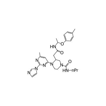 CCCNC(=O)N1CCN(c2cc(C)nc(-n3ccnc3)n2)C(CC(=O)NC(C)Oc2ccc(C)cc2)C1